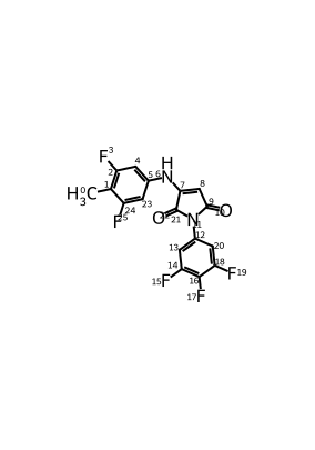 Cc1c(F)cc(NC2=CC(=O)N(c3cc(F)c(F)c(F)c3)C2=O)cc1F